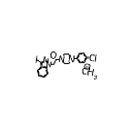 COc1cc(N2CCN(C(=O)Cn3nc(I)c4ccccc43)CC2)ccc1Cl